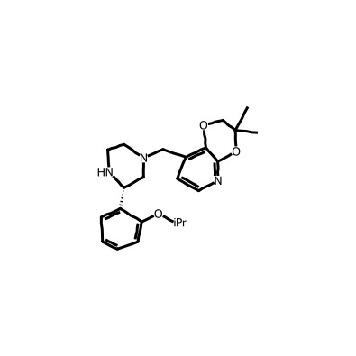 CC(C)Oc1ccccc1[C@H]1CN(Cc2ccnc3c2OCC(C)(C)O3)CCN1